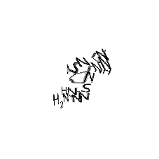 Cn1ccc(Nc2ncnc3ccc(Sc4nnc(N)[nH]4)nc23)n1